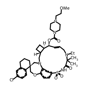 CCN1C/C=C/[C@H](OC(=O)N2CCN(CCOC)CC2)[C@@H]2CC[C@H]2CN2C[C@@]3(CCCc4cc(Cl)ccc43)COc3ccc(cc32)S(=O)(=O)NC(=O)C1(C)C